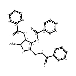 CC(=O)OC1O[C@H](COC(=O)c2ccccc2)[C@H](OC(=O)c2ccccc2)C1OC(=O)c1ccccc1